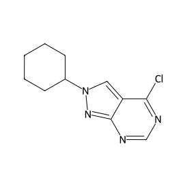 Clc1ncnc2nn(C3CCCCC3)cc12